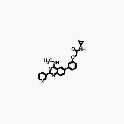 CNc1nc(-c2cccnc2)nc2ccc(-c3cccc(OCC(=O)NC4CC4)c3)cc12